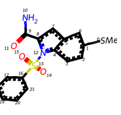 CSc1ccc2c(c1)cc(C(N)=O)n2S(=O)(=O)c1ccccc1